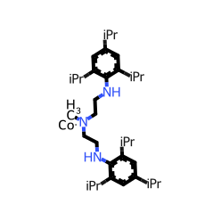 CC(C)c1cc(C(C)C)c(NCCN(C)CCNc2c(C(C)C)cc(C(C)C)cc2C(C)C)c(C(C)C)c1.[Co]